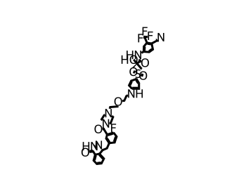 C[C@](O)(CS(=O)(=O)c1ccc(NCCOCCN2CCN(C(=O)c3cc(Cc4n[nH]c(=O)c5ccccc45)ccc3F)CC2)cc1)C(=O)Nc1ccc(C#N)c(C(F)(F)F)c1